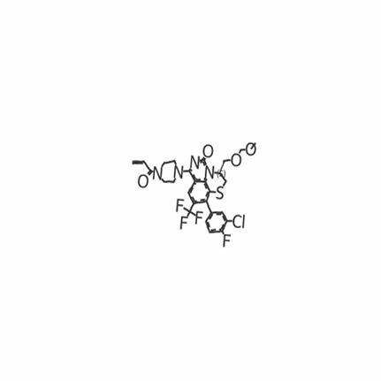 C=CC(=O)N1CCN(c2nc(=O)n3c4c(c(-c5ccc(F)c(Cl)c5)c(C(F)(F)F)cc24)SC[C@@H]3COCOC)CC1